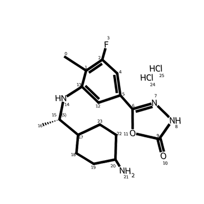 Cc1c(F)cc(-c2n[nH]c(=O)o2)cc1N[C@@H](C)C1CCC(N)CC1.Cl.Cl